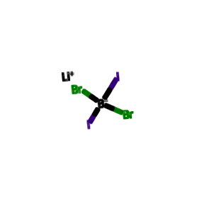 Br[B-](Br)(I)I.[Li+]